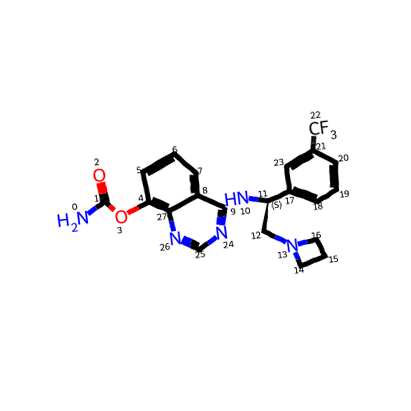 NC(=O)Oc1cccc2c(N[C@H](CN3CCC3)c3cccc(C(F)(F)F)c3)ncnc12